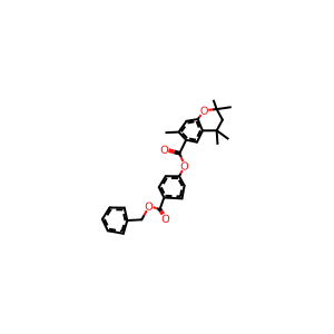 Cc1cc2c(cc1C(=O)Oc1ccc(C(=O)OCc3ccccc3)cc1)C(C)(C)CC(C)(C)O2